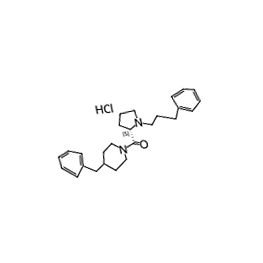 Cl.O=C([C@@H]1CCCN1CCCc1ccccc1)N1CCC(Cc2ccccc2)CC1